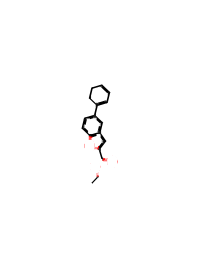 CCOC(=O)c1cc2cc(C3=CC=CCC3)ccc2o1